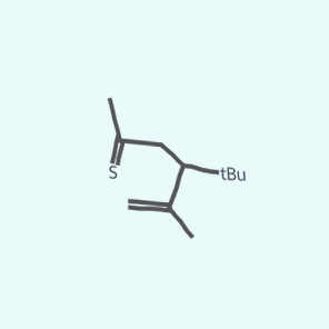 C=C(C)C(CC(C)=S)C(C)(C)C